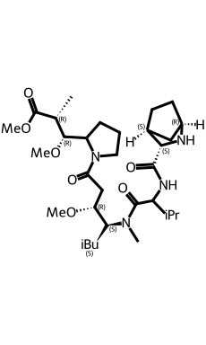 CC[C@H](C)[C@@H]([C@@H](CC(=O)N1CCCC1[C@H](OC)[C@@H](C)C(=O)OC)OC)N(C)C(=O)C(NC(=O)[C@H]1N[C@@H]2CC[C@H]1C2)C(C)C